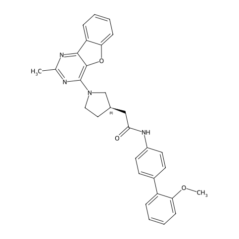 COc1ccccc1-c1ccc(NC(=O)C[C@H]2CCN(c3nc(C)nc4c3oc3ccccc34)C2)cc1